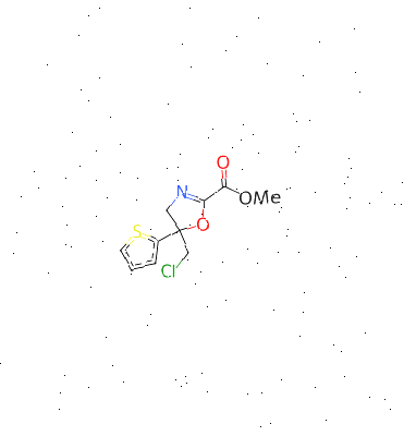 COC(=O)C1=NCC(CCl)(c2cccs2)O1